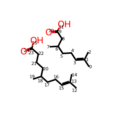 CC(C)=CCCC(C)CC(=O)O.CC(C)=CCCC(C)CCCC(=O)O